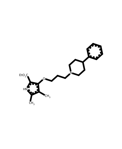 CCOC(=O)c1[nH]c(C)c(C)c1OCCCN1CCC(c2ccccc2)CC1